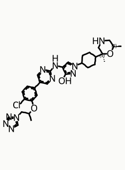 CC(Cn1cnnn1)Oc1cc(-c2cnc(Nc3cn(C4CCC([C@@]5(C)CNC[C@@H](C)O5)CC4)nc3O)nc2)ccc1Cl